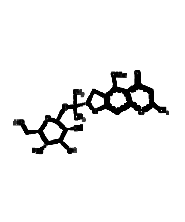 COc1c2c(cc3oc(C)cc(=O)c13)O[C@H](C(C)(C)O[C@@H]1O[C@H](CO)[C@@H](O)[C@H](O)[C@H]1O)C2